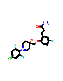 NC(=O)CCc1cc(F)ccc1OCC1(O)CCN(c2c(F)cc(Cl)cc2F)CC1